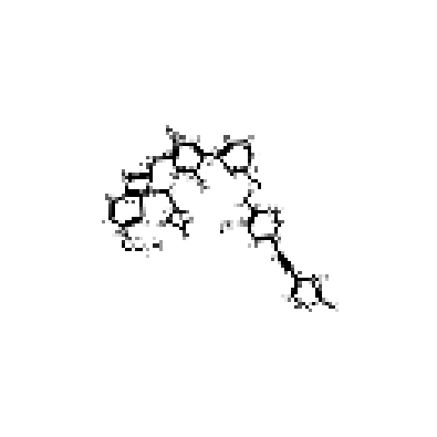 Cc1nc(C#Cc2cnc(COc3cccc(-c4cc(F)c(Cc5nc6ccc(C(=O)O)cc6n5CC5CCO5)cc4F)n3)c(F)c2)cs1